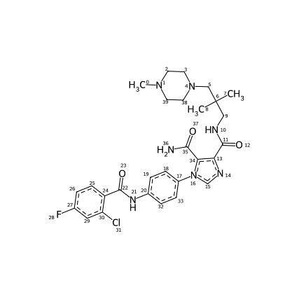 CN1CCN(CC(C)(C)CNC(=O)c2ncn(-c3ccc(NC(=O)c4ccc(F)cc4Cl)cc3)c2C(N)=O)CC1